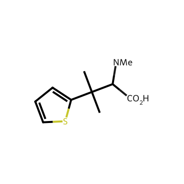 CNC(C(=O)O)C(C)(C)c1cccs1